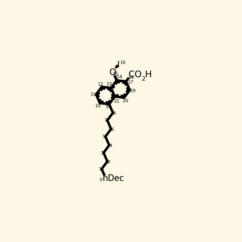 CCCCCCCCCCCCCCCCCCc1cccc2c(OI)c(C(=O)O)ccc12